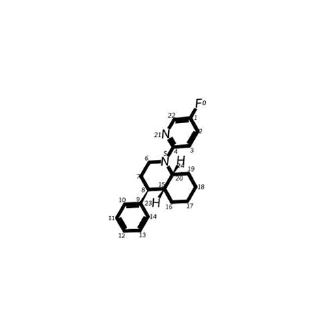 Fc1ccc(N2CC[C@H](c3ccccc3)[C@H]3CCCC[C@H]32)nc1